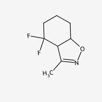 CC1=NOC2CCCC(F)(F)C12